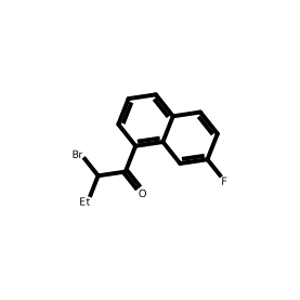 CCC(Br)C(=O)c1cccc2ccc(F)cc12